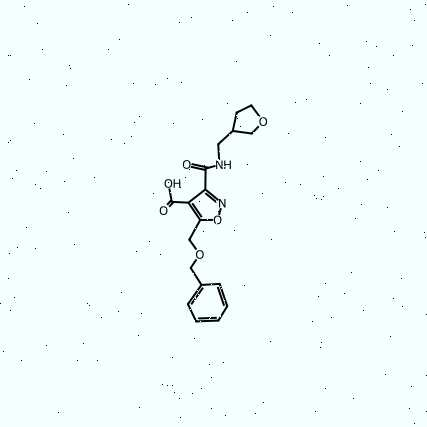 O=C(NCC1CCOC1)c1noc(COCc2ccccc2)c1C(=O)O